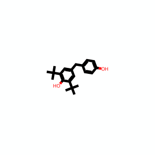 CC(C)(C)c1cc(Cc2ccc(O)cc2)cc(C(C)(C)C)c1O